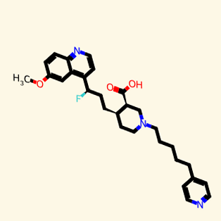 COc1ccc2nccc([C@H](F)CC[C@@H]3CCN(CCCCCc4ccncc4)C[C@@H]3C(=O)O)c2c1